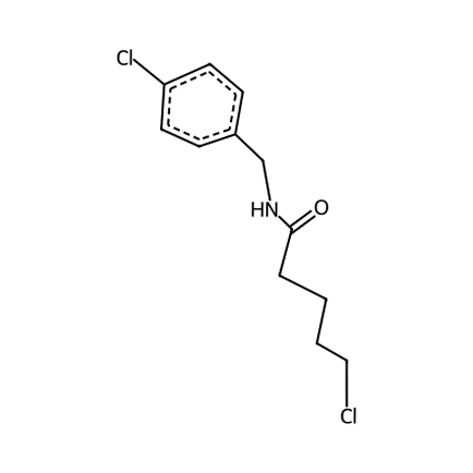 O=C(CCCCCl)NCc1ccc(Cl)cc1